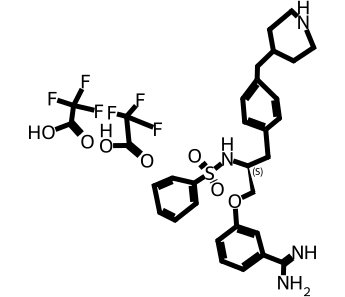 N=C(N)c1cccc(OC[C@H](Cc2ccc(CC3CCNCC3)cc2)NS(=O)(=O)c2ccccc2)c1.O=C(O)C(F)(F)F.O=C(O)C(F)(F)F